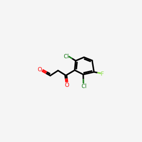 O=CCC(=O)c1c(Cl)ccc(F)c1Cl